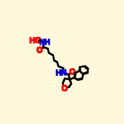 O=C(CCCCCCCNC(=O)C1(c2ccc3ccccc3c2)CCOCC1)NO